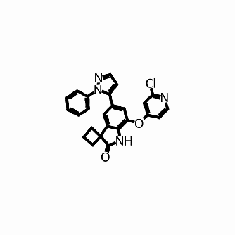 O=C1Nc2c(Oc3ccnc(Cl)c3)cc(-c3ccnn3-c3ccccc3)cc2C12CCC2